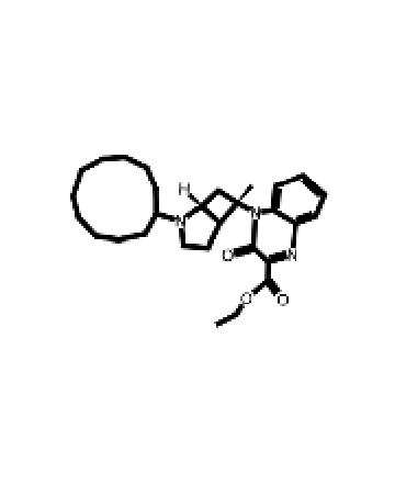 CCOC(=O)c1nc2ccccc2n([C@@]2(C)C[C@@H]3C2CCN3C2CCCCCCCCCC2)c1=O